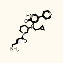 NC/C=C/C(=O)N1CCCC(N(CC2CC2)c2cc(-c3ccncc3)c[nH]c2=O)C1